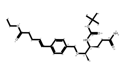 CCOC(=O)CC/C=C/c1ccc(CO[C@H](C)[C@H](CCC(N)=O)NC(=O)OC(C)(C)C)cc1